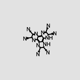 N#CC1=Nc2c(c3c(c4nc(C#N)c(C#N)nc24)N=C(C#N)C(C#N)N3)NC1C#N